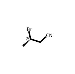 C[C@@H](Br)CC#N